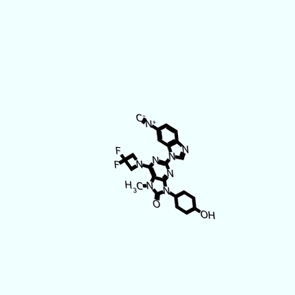 [C-]#[N+]c1ccc2ncn(-c3nc(N4CC(F)(F)C4)c4c(n3)n(C3CCC(O)CC3)c(=O)n4C)c2c1